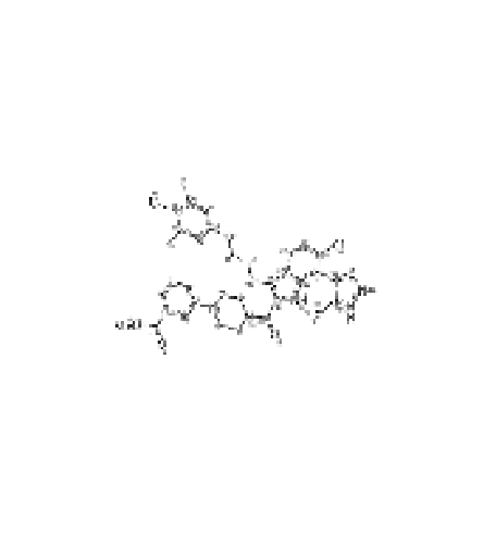 COC(=O)c1cccc(N2CCN(C(=O)c3[nH]c4c(-c5cn[nH]c5C(F)(F)F)c(Cl)ccc4c3CCCOc3cc(C)c(Cl)c(C)c3)CC2)c1